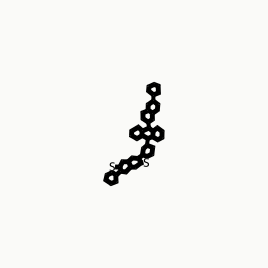 c1ccc(-c2ccc3cc(-c4c5ccccc5c(-c5ccc6sc7cc8cc9c(cc8cc7c6c5)sc5ccccc59)c5ccccc45)ccc3c2)cc1